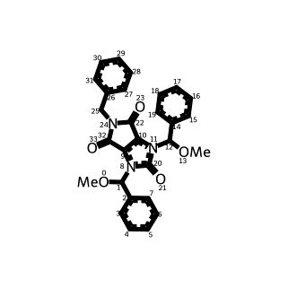 COC(c1ccccc1)n1c2c(n(C(OC)c3ccccc3)c1=O)C(=O)N(Cc1ccccc1)C2=O